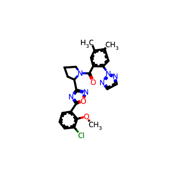 COc1c(Cl)cccc1-c1nc(C2CCCN2C(=O)c2cc(C)c(C)cc2-n2nccn2)no1